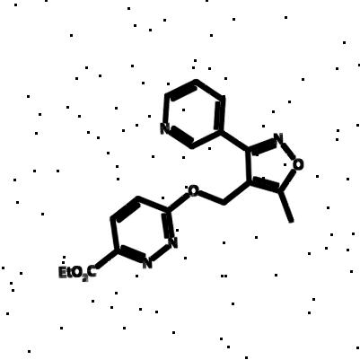 CCOC(=O)c1ccc(OCc2c(-c3cccnc3)noc2C)nn1